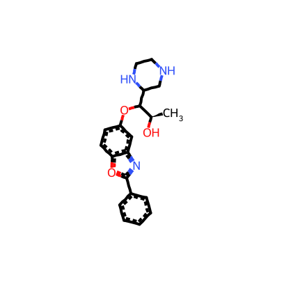 C[C@@H](O)C(Oc1ccc2oc(-c3ccccc3)nc2c1)C1CNCCN1